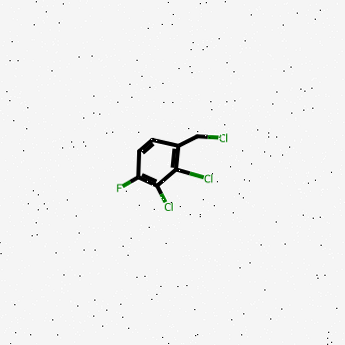 Fc1ccc(CCl)c(Cl)c1Cl